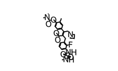 CNS(=O)(=O)Nc1cccc(Cc2c(CN3CCC3)c3cc(C)c(OC(=O)N(C)C)cc3oc2=O)c1F